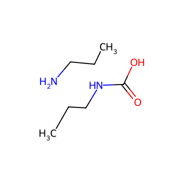 CCCN.CCCNC(=O)O